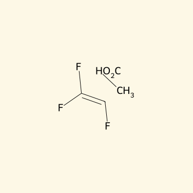 CC(=O)O.FC=C(F)F